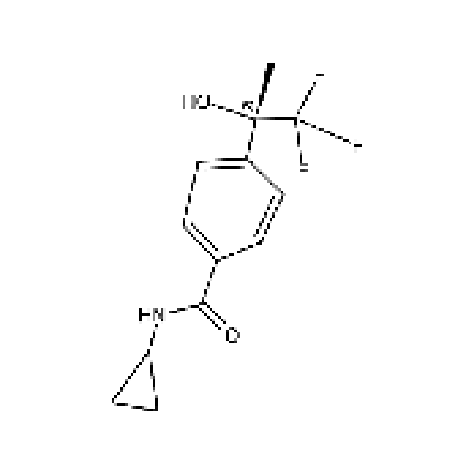 C[C@](O)(c1ccc(C(=O)NC2CC2)cc1)C(F)(F)F